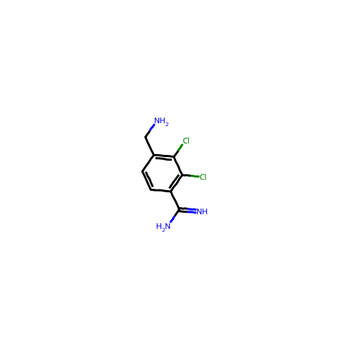 N=C(N)c1ccc(CN)c(Cl)c1Cl